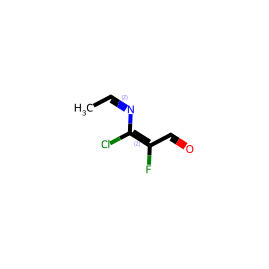 C/C=N\C(Cl)=C(\F)C=O